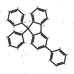 c1ccc(-c2ccc3c(c2)-c2ccccc2C3(c2ccccc2)c2ccccc2)cc1